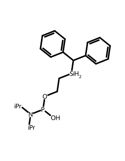 CC(C)N(C(C)C)P(O)OCC[SiH2]C(c1ccccc1)c1ccccc1